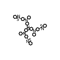 c1ccc(N(c2ccc(-c3nc4ccccc4s3)cc2)c2ccc(-n3c4ccc(N(c5ccccc5)c5ccc(-c6nc7ccccc7s6)cc5)cc4c4cc(N(c5ccccc5)c5ccc(-c6nc7ccccc7s6)cc5)ccc43)cc2)cc1